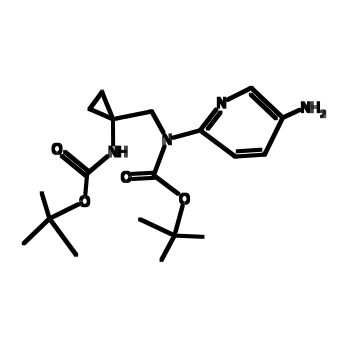 CC(C)(C)OC(=O)NC1(CN(C(=O)OC(C)(C)C)c2ccc(N)cn2)CC1